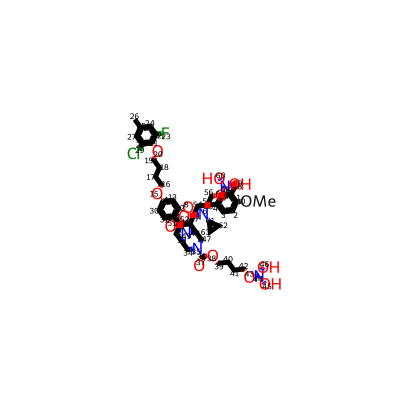 COc1ccc(CN(C(=O)C2C(c3ccc(OCCCCOc4c(F)cc(C)cc4Cl)cc3)CC3CN(C(=O)OCCCCON(O)O)CC2N3C(=O)OCCCCON(O)O)C2CC2)cc1C